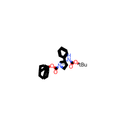 CC(C)(C)OC(=O)N[C@]1(c2ccccc2)CCN(C(=O)OC2C3CC4CC(C3)CC2C4)C1